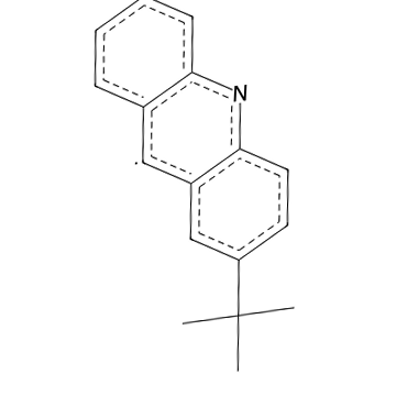 CC(C)(C)c1ccc2nc3ccccc3[c]c2c1